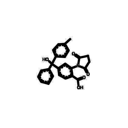 Cc1ccc(C(O)(c2ccccc2)c2ccc(C(=O)O)c(N3C(=O)CCC3=O)c2)cc1